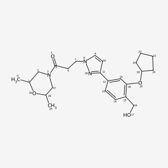 CC1CN(C(=O)CCn2ccc(-c3ccc(CO)c(OC4CCCC4)c3)n2)CC(C)O1